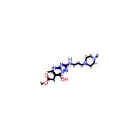 COC(=O)Cc1c(C)nc2nc(NCCCN3CCN(C)CC3)nn2c1O